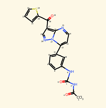 O=C(NC(=O)C(Cl)(Cl)Cl)Nc1cccc(-c2ccnc3c(C(=O)c4cccs4)cnn23)c1